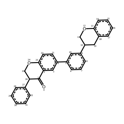 O=C1c2cc(-c3cccc(C4COc5ccccc5C4)c3)ccc2OCC1c1ccccc1